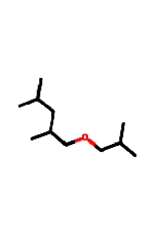 CC(C)COCC(C)CC(C)C